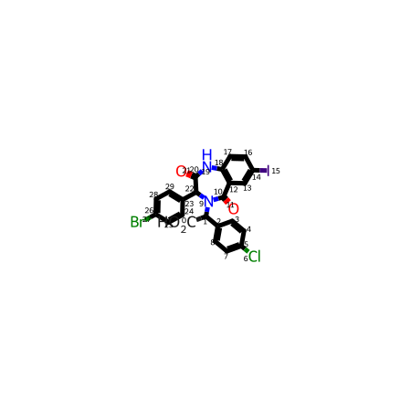 O=C(O)C(c1ccc(Cl)cc1)N1C(=O)c2cc(I)ccc2NC(=O)C1c1ccc(Br)cc1